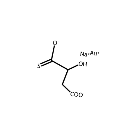 O=C([O-])CC(O)C([O-])=S.[Au+].[Na+]